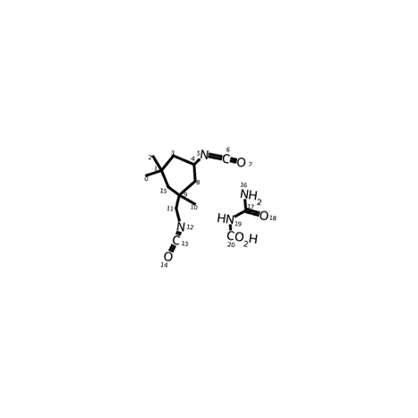 CC1(C)CC(N=C=O)CC(C)(CN=C=O)C1.NC(=O)NC(=O)O